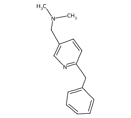 CN(C)Cc1ccc(Cc2ccccc2)nc1